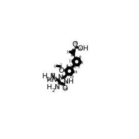 CCOc1cc(-c2cccc([C@H]3C[C@@H]3C(=O)O)c2)ccc1-c1nc(NN)c(N)c(=O)[nH]1